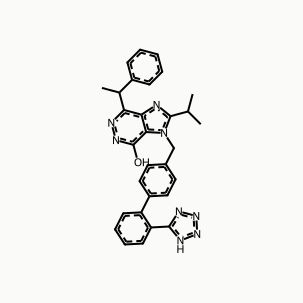 CC(C)c1nc2c(C(C)c3ccccc3)nnc(O)c2n1Cc1ccc(-c2ccccc2-c2nnn[nH]2)cc1